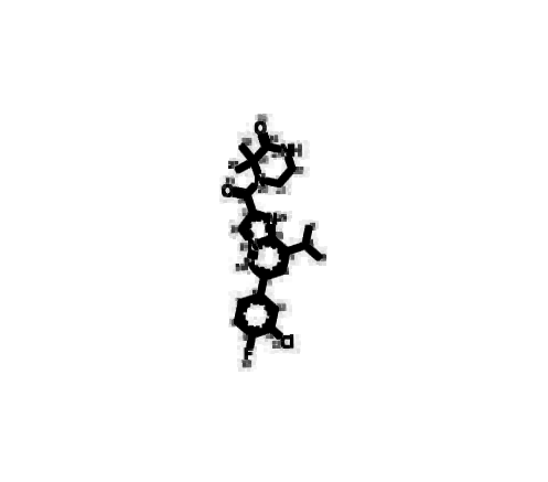 CC(C)c1cc(-c2ccc(F)c(Cl)c2)nn2cc(C(=O)N3CCNC(=O)C3(C)C)nc12